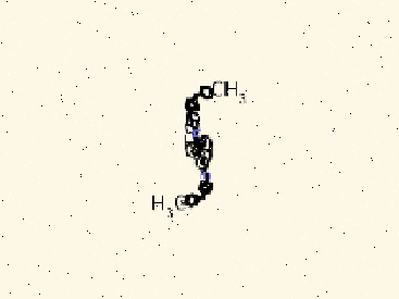 CC1CCC(Cc2ccc(/C=C/COO[C@H]3CO[C@@H]4C(/C=C/OOCc5ccc(CC6CCC(C)CC6)cc5)CO[C@H]34)cc2)CC1